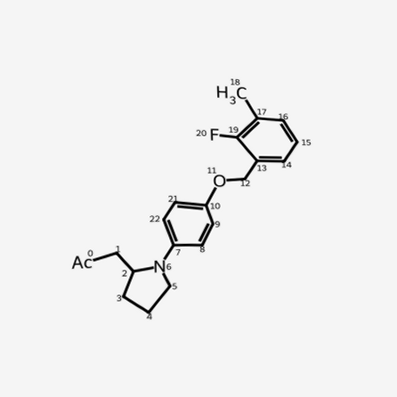 CC(=O)CC1CCCN1c1ccc(OCc2cccc(C)c2F)cc1